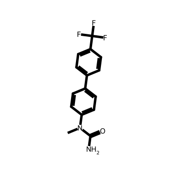 CN(C(N)=O)c1ccc(-c2ccc(C(F)(F)F)cc2)cc1